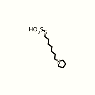 O=S(=O)(O)SCCCCCCCN1CCCC1